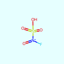 O=[N+](F)S(=O)(=O)O